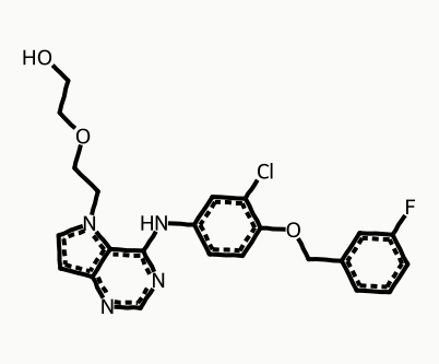 OCCOCCn1ccc2ncnc(Nc3ccc(OCc4cccc(F)c4)c(Cl)c3)c21